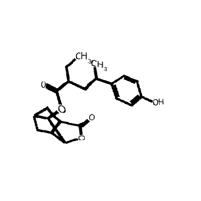 CCC(CC(C)c1ccc(O)cc1)C(=O)OC1C2CC3C(=O)OC1C3C2